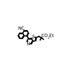 CCOC(=O)C(C)(C)Cc1cc2cncc(-c3ccc(C#N)c4ccccc34)c2s1